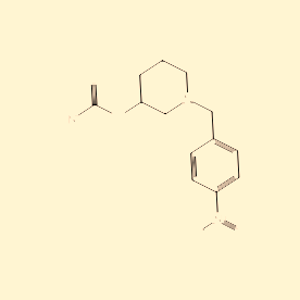 NC(=O)OC1CCCN(Cc2ccc([N+](=O)[O-])cc2)C1